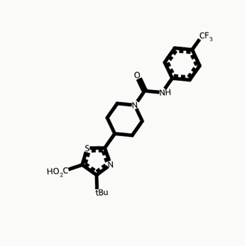 CC(C)(C)c1nc(C2CCN(C(=O)Nc3ccc(C(F)(F)F)cc3)CC2)sc1C(=O)O